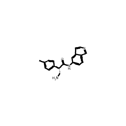 Cc1ccc([C@@H](CN)C(=O)Nc2ccc3cnccc3c2)cc1